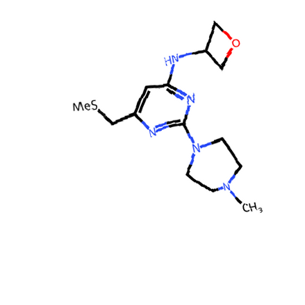 CSCc1cc(NC2COC2)nc(N2CCN(C)CC2)n1